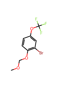 COCOc1ccc(OC(F)(F)F)cc1Br